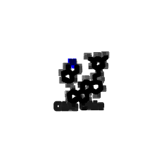 COc1cccc2c1c(OC)cc1c3c(ccc12)C(CCc1cc(C)cc(C)c1)CCC3.c1ccc2cnccc2c1